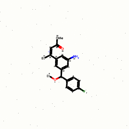 CCOC(c1ccc(F)cc1)c1cc(N)cc(/C(=C\C(=O)OC)CC)c1